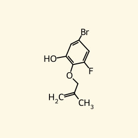 C=C(C)COc1c(O)cc(Br)cc1F